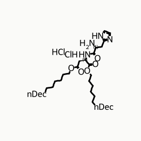 CCCCCCCCCCCCCCCCOC(=O)C[C@@H](NC(=O)[C@@H](N)Cc1ncc[nH]1)C(=O)OCCCCCCCCCCCCCCCC.Cl.Cl